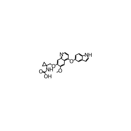 COc1cc2c(Oc3ccc4[nH]ccc4c3)ccnc2cc1OCC1(NC(=O)O)CC1